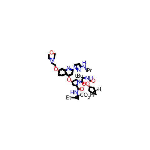 CCC1C[C@]1(NC(=O)C1C[C@@H](Oc2cc(-n3ccc(NC(C)C)n3)nc3cc(OCCN4CCOCC4)ccc23)CN1C(=O)[C@@H](NC(=O)OC1CC2C[C@H]2C1)C(C)(C)C)C(=O)O